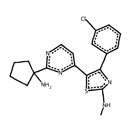 CNc1nc(-c2cccc(Cl)c2)c(-c2ccnc(C3(N)CCCC3)n2)s1